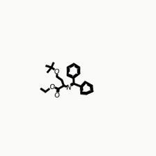 CCOC(=O)C(CCOC(C)(C)C)N=C(c1ccccc1)c1ccccc1